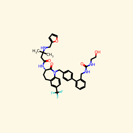 CC(C)(CC(=O)N[C@@H]1CCc2cc(C(F)(F)F)ccc2N(Cc2ccc(-c3ccccc3CNC(=O)NCCO)cc2)C1=O)NCc1ccco1